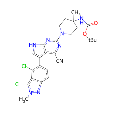 Cn1nc2ccc(-c3c[nH]c4nc(N5CCC(C)(NC(=O)OC(C)(C)C)CC5)nc(C#N)c34)c(Cl)c2c1Cl